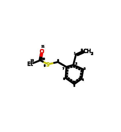 C=Cc1ccccc1CSC(=O)CC